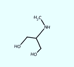 [CH2]NC(CO)CO